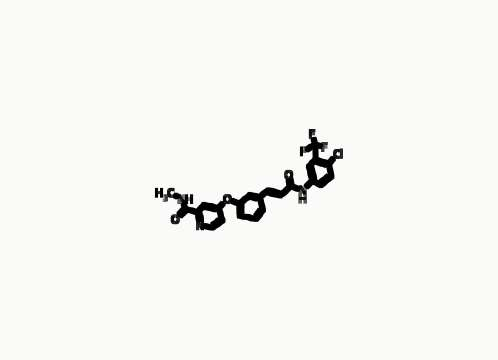 CNC(=O)c1cc(Oc2cccc(/C=C/C(=O)Nc3ccc(Cl)c(C(F)(F)F)c3)c2)ccn1